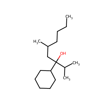 CCCCC(C)CC(O)(C(C)C)C1CCCCC1